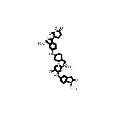 CN1C(=O)Cc2cc(Nc3nc(/[N+](C)=C\C4CCC(Nc5ccc6c(C7CCC(=O)NC7=O)nn(C)c6c5)CC4)ncc3Cl)ccc21